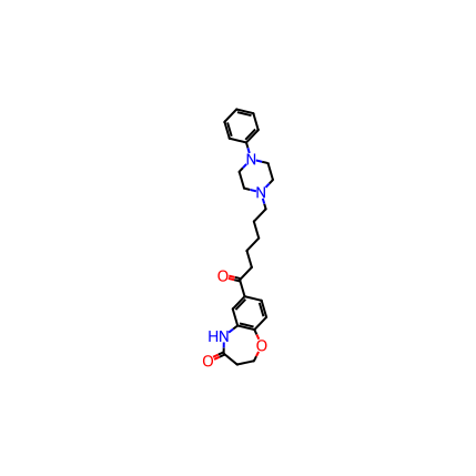 O=C1CCOc2ccc(C(=O)CCCCCN3CCN(c4ccccc4)CC3)cc2N1